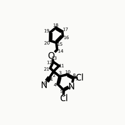 N#CC1(c2cc(Cl)nc(Cl)c2)CC(OCc2ccccc2)C1